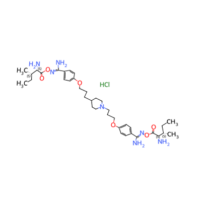 CC[C@H](C)[C@H](N)C(=O)ON=C(N)c1ccc(OCCCC2CCN(CCCOc3ccc(C(N)=NOC(=O)[C@@H](N)[C@@H](C)CC)cc3)CC2)cc1.Cl